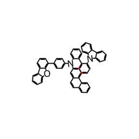 c1ccc(N(c2ccc(-c3cccc4c3oc3ccccc34)cc2)c2ccc3c(ccc4ccccc43)c2)c(-c2ccccc2-n2c3ccccc3c3ccccc32)c1